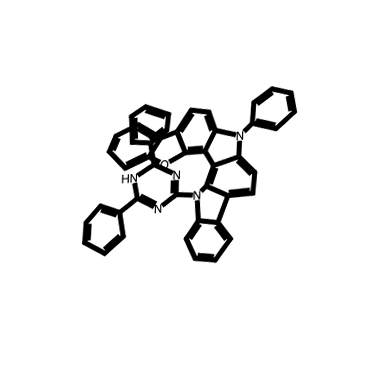 c1ccc(C2=NC(n3c4ccccc4c4ccc5c(c6c7oc8ccccc8c7ccc6n5-c5ccccc5)c43)=NC(c3ccccc3)N2)cc1